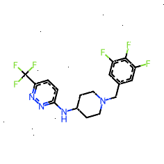 Fc1cc(CN2CCC(Nc3ccc(C(F)(F)F)nn3)CC2)cc(F)c1F